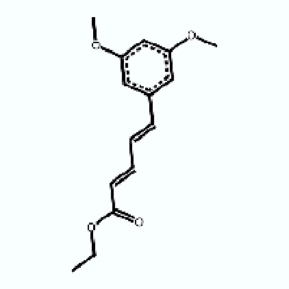 CCOC(=O)C=CC=Cc1cc(OC)cc(OC)c1